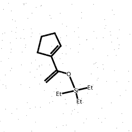 C=C(O[Si](CC)(CC)CC)C1=CCCC1